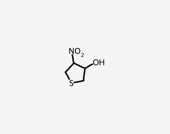 O=[N+]([O-])C1CSCC1O